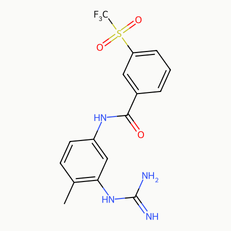 Cc1ccc(NC(=O)c2cccc(S(=O)(=O)C(F)(F)F)c2)cc1NC(=N)N